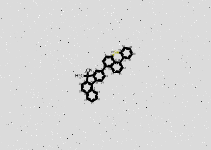 CC1(C)c2cc(-c3ccc4c5c(cccc35)-c3ccccc3S4)ccc2-c2c1ccc1ccccc21